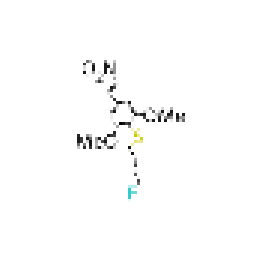 COc1cc(C=C[N+](=O)[O-])cc(OC)c1SCCCCF